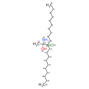 CCCCCCCCCCC(CCCCCCCCCC)C(C)(N)O.Cl